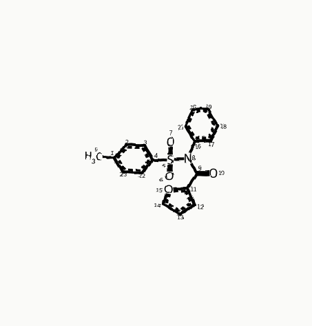 Cc1ccc(S(=O)(=O)N(C(=O)c2ccco2)c2ccccc2)cc1